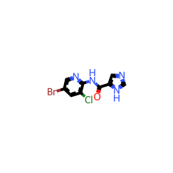 O=C(Nc1ncc(Br)cc1Cl)c1cnc[nH]1